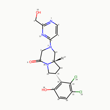 O=C1CN(c2ccnc(CO)n2)C[C@@H]2C[C@H](c3c(O)ccc(Cl)c3Cl)CN12